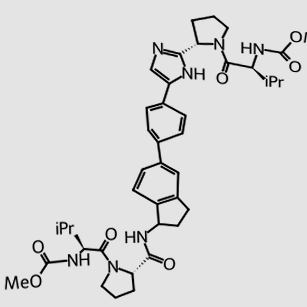 COC(=O)N[C@H](C(=O)N1CCC[C@H]1C(=O)NC1CCc2cc(-c3ccc(-c4cnc([C@@H]5CCCN5C(=O)[C@@H](NC(=O)OC)C(C)C)[nH]4)cc3)ccc21)C(C)C